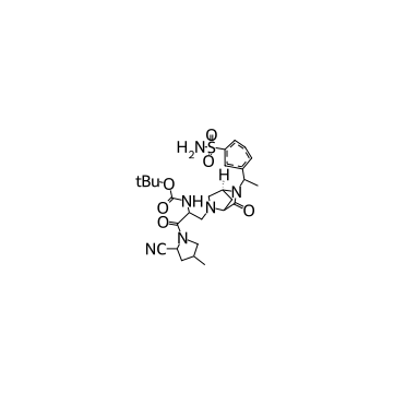 CC1CC(C#N)N(C(=O)C(CN2C[C@@H]3CC2C(=O)N3C(C)c2cccc(S(N)(=O)=O)c2)NC(=O)OC(C)(C)C)C1